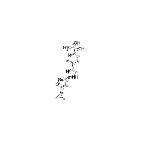 CC(C)(O)c1ccc(-c2c[nH]c(-c3cc(C4CC4)on3)n2)cn1